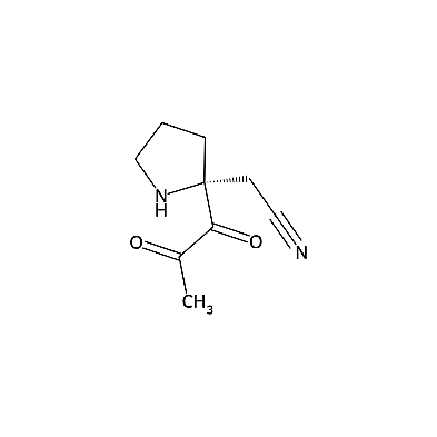 CC(=O)C(=O)[C@]1(CC#N)CCCN1